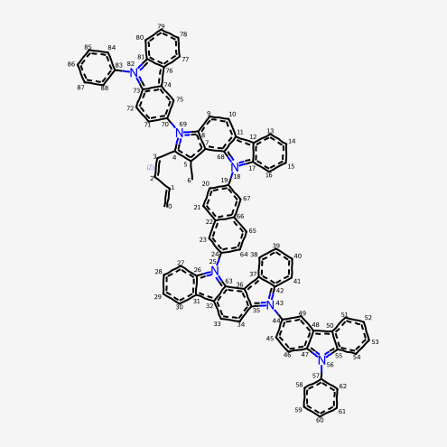 C=C/C=C\c1c(C)c2c(ccc3c4ccccc4n(-c4ccc5cc(-n6c7ccccc7c7ccc8c(c9ccccc9n8-c8ccc9c(c8)c8ccccc8n9-c8ccccc8)c76)ccc5c4)c32)n1-c1ccc2c(c1)c1ccccc1n2-c1ccccc1